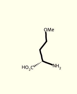 COCC[C@H](N)C(=O)O